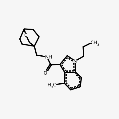 CCCn1cc(C(=O)NCC23CCC(CC2)CC3)c2c(C)cccc21